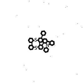 c1ccc(-c2ccc3c(c2)Sc2ccccc2-c2ccccc2Sc2cccc(-c4cccc5c6ccccc6n(-c6ccccc6)c45)c2-3)cc1